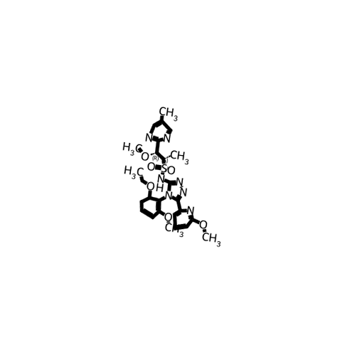 CCOC1CC=CC(OC)=C1n1c(NS(=O)(=O)[C@@H](C)[C@H](OC)c2ncc(C)cn2)nnc1-c1cccc(OC)n1